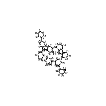 c1ccc(-c2ccc3c(c2)c2cc(-c4cccc5c4[nH]c4c(-c6cc(-c7ccccn7)nc(-c7ccccn7)c6)cccc45)ccc2n3-c2ccccc2)cc1